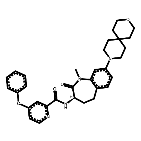 CN1C(=O)[C@H](NC(=O)c2cc(Oc3ccccc3)ccn2)CCc2ccc(N3CCC4(CCOCC4)CC3)cc21